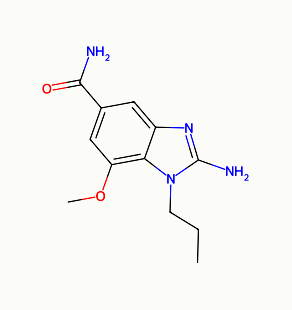 CCCn1c(N)nc2cc(C(N)=O)cc(OC)c21